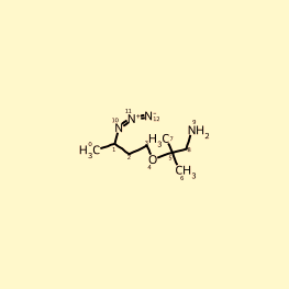 CC(CCOC(C)(C)CN)N=[N+]=[N-]